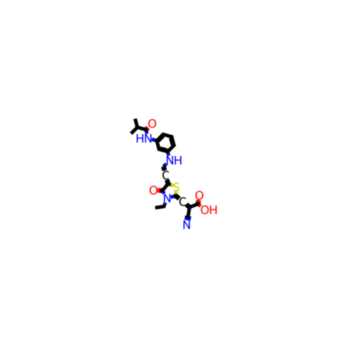 CCn1c(=C=C(C#N)C(=O)O)sc(=C=CNc2cccc(NC(=O)C(C)C)c2)c1=O